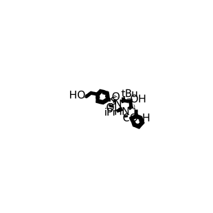 CC(C)CN(C([C@H](O)[C@H](Cc1ccccc1)NC(=O)O)C(C)(C)C)S(=O)(=O)c1ccc(CCO)cc1